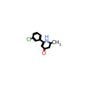 CC1CC(=O)C=C(c2cccc(Cl)c2)N1